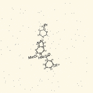 COc1cc2nn([C@H]3CC[C@H](C(C)C)CC3)cc2cc1NC(=O)c1cccc(F)c1